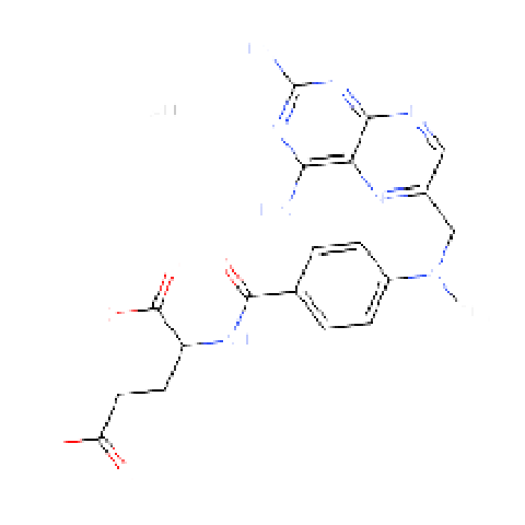 CN(Cc1cnc2nc(N)nc(N)c2n1)c1ccc(C(=O)NC(CCC(=O)O)C(=O)O)cc1.[SrH2]